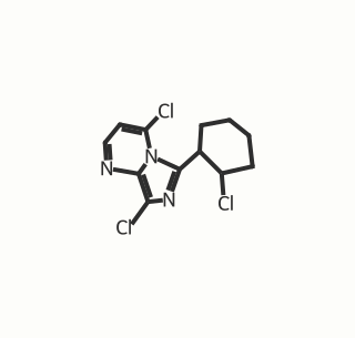 Clc1nc(C2CCCCC2Cl)n2c(Cl)ccnc12